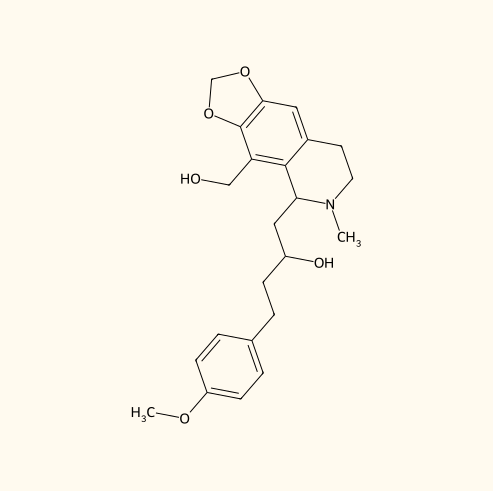 COc1ccc(CCC(O)CC2c3c(cc4c(c3CO)OCO4)CCN2C)cc1